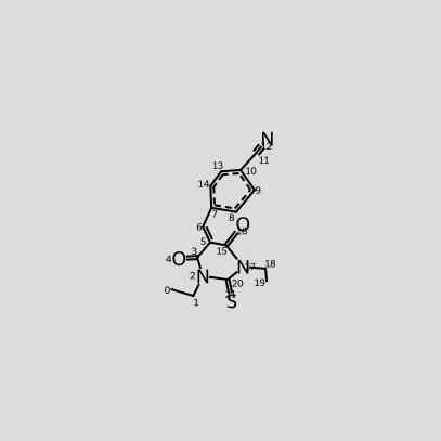 CCN1C(=O)C(=Cc2ccc(C#N)cc2)C(=O)N(CC)C1=S